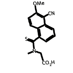 COc1ccc2c(C(=S)N(C)CC(=O)O)cccc2c1C#N